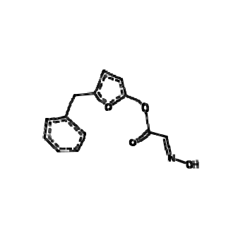 O=C(C=NO)Oc1ccc(Cc2ccccc2)o1